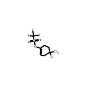 CC1(Cl)CC=C(OS(=O)(=O)C(F)(F)F)CC1